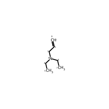 [CH]=CCN(CC)CC